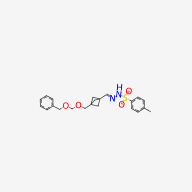 Cc1ccc(S(=O)(=O)NN=CC23CC(COCOCc4ccccc4)(C2)C3)cc1